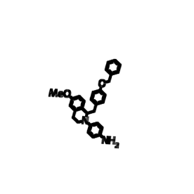 COc1ccc2c(c1)CCN(c1ccc(N)cc1)C2Cc1ccc(OCc2ccccc2)cc1